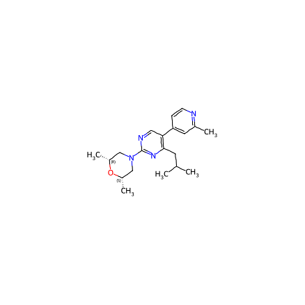 Cc1cc(-c2cnc(N3C[C@@H](C)O[C@@H](C)C3)nc2CC(C)C)ccn1